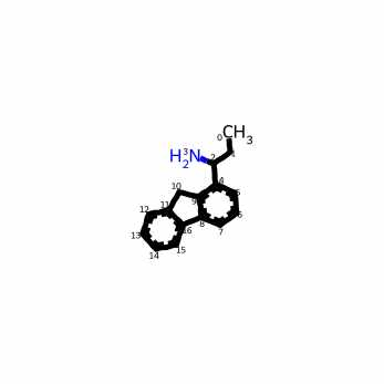 CCC(N)c1cccc2c1Cc1ccccc1-2